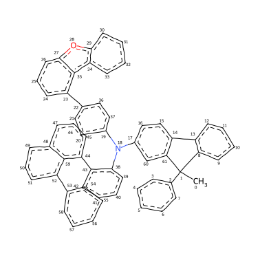 CC1(c2ccccc2)c2ccccc2-c2ccc(N(c3ccc(-c4cccc5oc6ccccc6c45)cc3)c3ccccc3-c3cccc4cccc(-c5ccccc5)c34)cc21